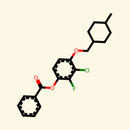 CC1CCC(COc2ccc(OC(=O)c3ccccc3)c(F)c2Cl)CC1